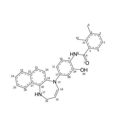 Cc1cccc(C(=O)Nc2ccc(N3C=CCNc4c3ccc3ccccc43)cc2O)c1C